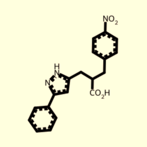 O=C(O)C(Cc1ccc([N+](=O)[O-])cc1)Cc1cc(-c2ccccc2)n[nH]1